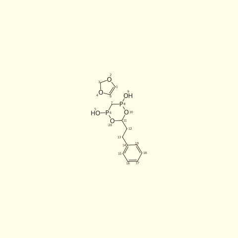 C1=COCO1.OP1CP(O)OC(CCc2ccccc2)O1